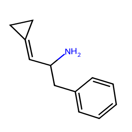 NC(C=C1CC1)Cc1ccccc1